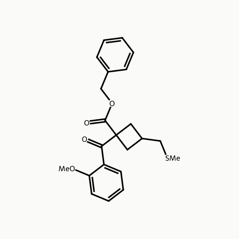 COc1ccccc1C(=O)C1(C(=O)OCc2ccccc2)CC(CSC)C1